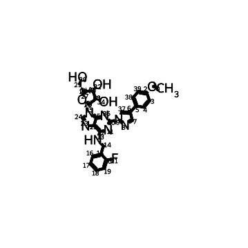 COc1ccc(-c2cnn(-c3nc(NCc4ccccc4F)c4ncn([C@@H]5O[C@H](CO)[C@H](O)[C@H]5O)c4n3)c2)cc1